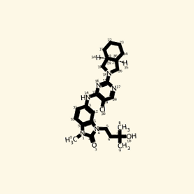 Cn1c(=O)n(CCC(C)(C)O)c2cc(Nc3nc(N4C[C@H]5CCCC[C@H]5C4)ncc3Cl)ccc21